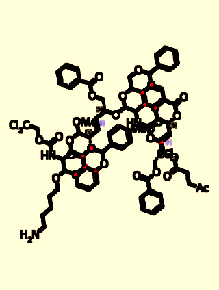 COC(OC1C(NC(=O)OCC(Cl)(Cl)Cl)C(OCCCCCN)OC2COC(c3ccccc3)OC21)[C@H](/C=C/[C@@H](COC(=O)c1ccccc1)OC1OC2COC(c3ccccc3)OC2C(OC(OC)[C@H](/C=C/[C@@H](COC(=O)c2ccccc2)OC(=O)CCC(C)=O)OC(=O)c2ccccc2)C1NC(=O)OCC(Cl)(Cl)Cl)OC(=O)c1ccccc1